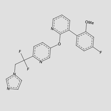 COc1cc(F)ccc1-c1cccnc1Oc1ccc(C(F)(F)Cn2ccnc2)nc1